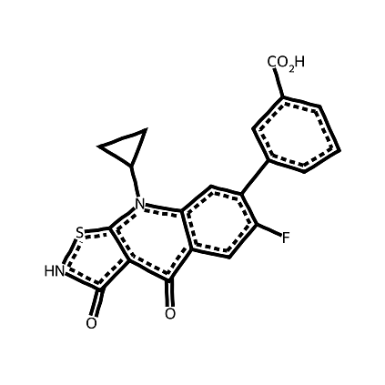 O=C(O)c1cccc(-c2cc3c(cc2F)c(=O)c2c(=O)[nH]sc2n3C2CC2)c1